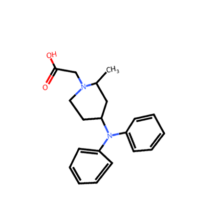 CC1CC(N(c2ccccc2)c2ccccc2)CCN1CC(=O)O